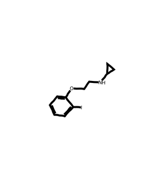 Ic1ccccc1OCCNC1CC1